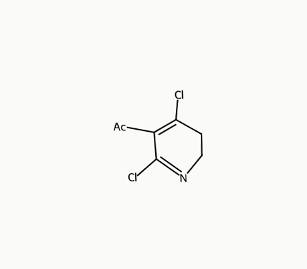 CC(=O)C1=C(Cl)CCN=C1Cl